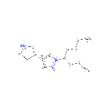 CCCCC(CCC)n1cc([C@@H]2CCNC2)cn1